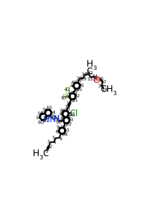 CC#CCCCCc1ccc(-c2ccc3c(Cl)c(C#Cc4ccc(-c5ccc(CCCC(C)CCO/C=C\CC)cc5)c(F)c4F)ccc3c2/C=N/Nc2cccc3ccccc23)cc1